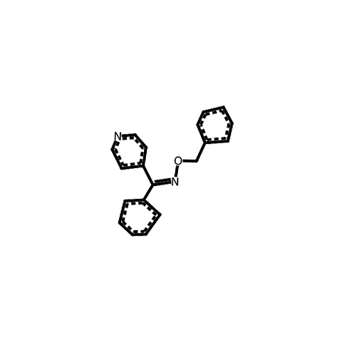 c1ccc(CON=C(c2ccccc2)c2ccncc2)cc1